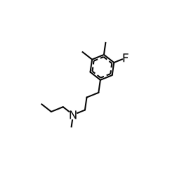 CCCN(C)CCCc1cc(C)c(C)c(F)c1